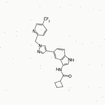 O=C(Nc1c[nH]c2ccc(-c3cnn(Cc4ccc(C(F)(F)F)cn4)c3)cc12)C1CCC1